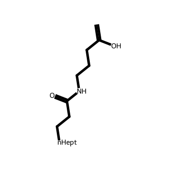 C=C(O)CCCNC(=O)CCCCCCCCC